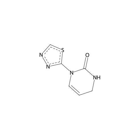 O=C1NCC=CN1c1nncs1